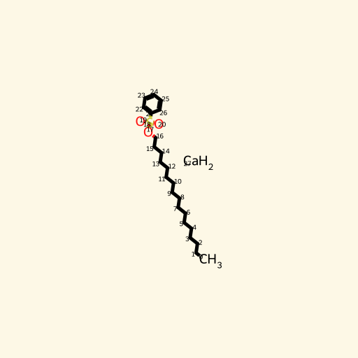 CCCCCCCCCCCCCCCCCOS(=O)(=O)c1ccccc1.[CaH2]